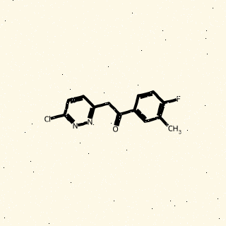 Cc1cc(C(=O)Cc2ccc(Cl)nn2)ccc1F